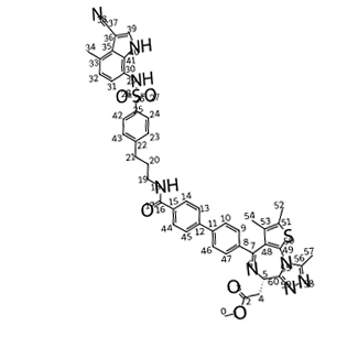 COC(=O)C[C@@H]1N=C(c2ccc(-c3ccc(C(=O)NCCCc4ccc(S(=O)(=O)Nc5ccc(C)c6c(C#N)c[nH]c56)cc4)cc3)cc2)c2c(sc(C)c2C)-n2c(C)nnc21